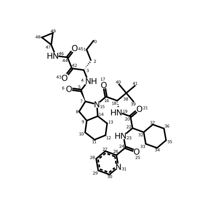 CCC[C@H](NC(=O)[C@@H]1CC2CCCCC2N1C(=O)[C@@H](NC(=O)C(NC(=O)c1ccccn1)C1CCCCC1)C(C)(C)C)C(=O)C(=O)NC1CC1